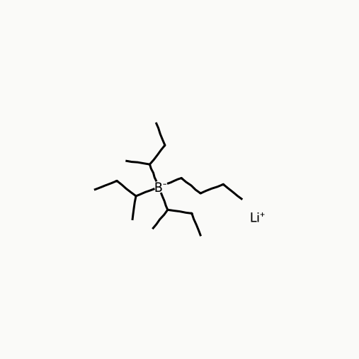 CCCC[B-](C(C)CC)(C(C)CC)C(C)CC.[Li+]